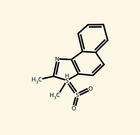 CC1=Nc2c(ccc3ccccc23)[SH]1(C)=S(=O)=O